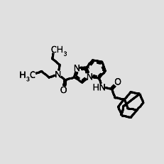 CCCN(CCC)C(=O)c1cn2c(NC(=O)CC34CC5CC(CC(C5)C3)C4)cccc2n1